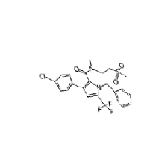 CN(CCS(C)(=O)=O)C(=O)c1c(-c2ccc(Cl)cc2)cc(C(F)(F)F)n1Cc1ccccc1